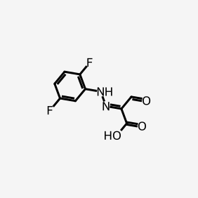 O=C/C(=N\Nc1cc(F)ccc1F)C(=O)O